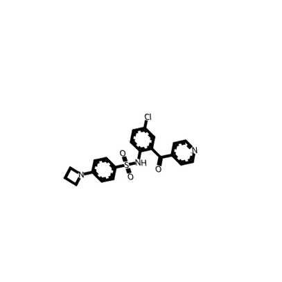 O=C(c1ccncc1)c1cc(Cl)ccc1NS(=O)(=O)c1ccc(N2CCC2)cc1